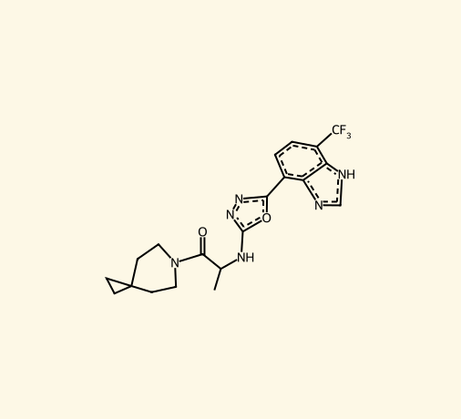 CC(Nc1nnc(-c2ccc(C(F)(F)F)c3[nH]cnc23)o1)C(=O)N1CCC2(CC1)CC2